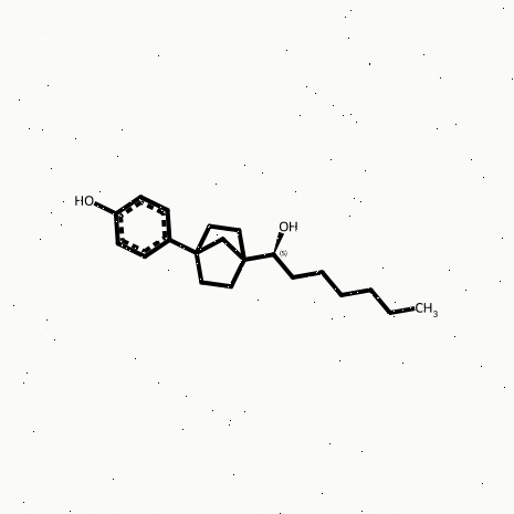 CCCCCC[C@H](O)C12CCC(c3ccc(O)cc3)(CC1)C2